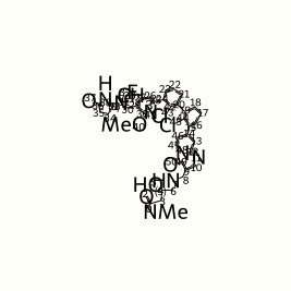 CNC(=O)C[C@H](O)CNCc1cnc2cc(-c3cccc(-c4cccc(-c5cc(F)c(CN(C)[C@H]6CCC(=O)N6)c(OC)n5)c4Cl)c3Cl)ccn2c1=O